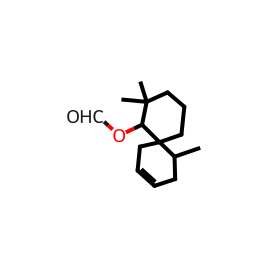 CC1CC=CCC12CCCC(C)(C)C2OC=O